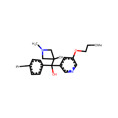 COCCOc1cncc(C(O)(c2ccc(C(C)C)cc2)C2(C)CN(C)C2)c1